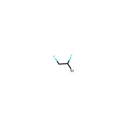 [2H]C(F)CF